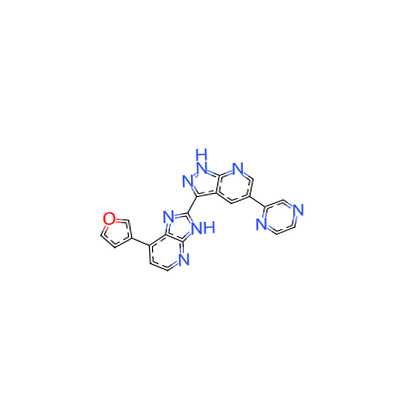 c1cnc(-c2cnc3[nH]nc(-c4nc5c(-c6ccoc6)ccnc5[nH]4)c3c2)cn1